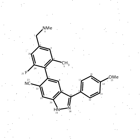 CNCc1cc(C)c(-c2cc3c(-c4ccc(OC)cc4)n[nH]c3cc2C#N)c(F)c1